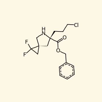 O=C(OCc1ccccc1)[C@]1(CCCCl)C[C@]2(CN1)CC2(F)F